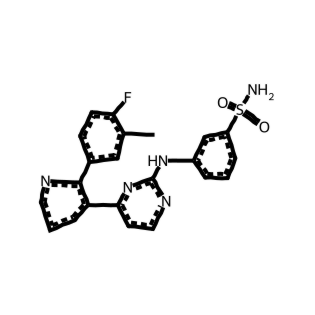 Cc1cc(-c2ncccc2-c2ccnc(Nc3cccc(S(N)(=O)=O)c3)n2)ccc1F